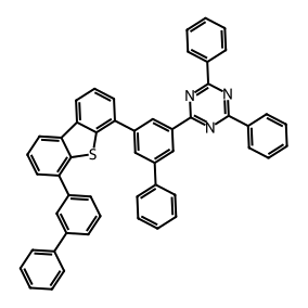 c1ccc(-c2cccc(-c3cccc4c3sc3c(-c5cc(-c6ccccc6)cc(-c6nc(-c7ccccc7)nc(-c7ccccc7)n6)c5)cccc34)c2)cc1